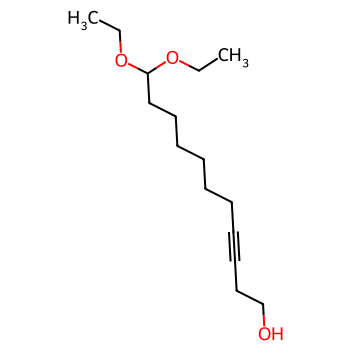 CCOC(CCCCCCC#CCCO)OCC